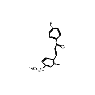 Cc1cc(C(=O)O)ccc1C=CC(=O)c1ccc(F)cc1